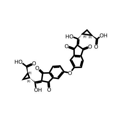 O=C1C(=C(O)[C@@H]2C[C@H]2C(=O)O)C(=O)c2cc(Oc3ccc4c(c3)C(=O)C(=C(O)[C@@H]3C[C@H]3C(=O)O)C4=O)ccc21